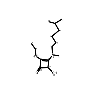 CCNC1=C(N(C)CCCCC(C)C)C(O)C1=O